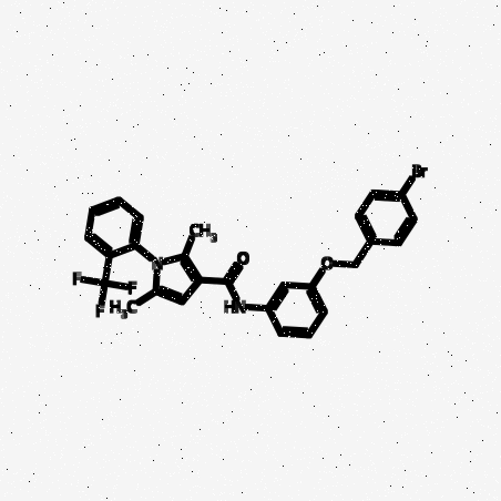 Cc1cc(C(=O)Nc2cccc(OCc3ccc(Br)cc3)c2)c(C)n1-c1ccccc1C(F)(F)F